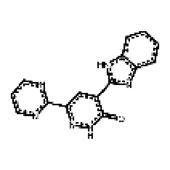 O=c1[nH]nc(-c2ncccn2)cc1-c1nc2ccccc2[nH]1